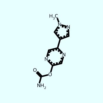 Cn1cc(-c2cnc(OC(N)=O)cn2)cn1